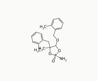 Cc1ccccc1COC1OP(N)(=O)OC1(C)Cc1ccccc1C